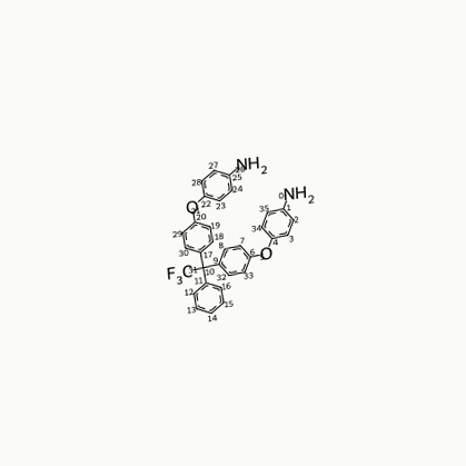 Nc1ccc(Oc2ccc(C(c3ccccc3)(c3ccc(Oc4ccc(N)cc4)cc3)C(F)(F)F)cc2)cc1